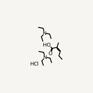 CCC=C(C)C(=O)O.CCN(CC)CC.CCN(CC)CC.Cl